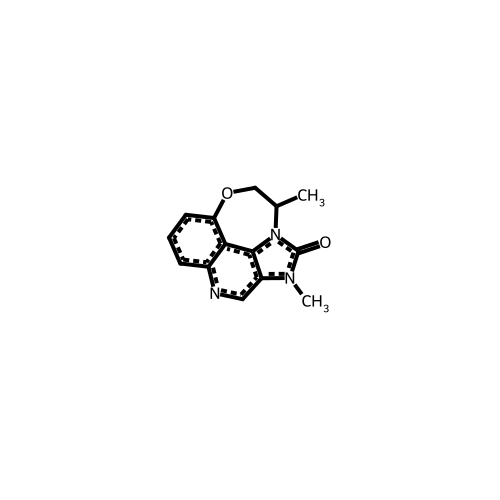 CC1COc2cccc3ncc4c(c23)n1c(=O)n4C